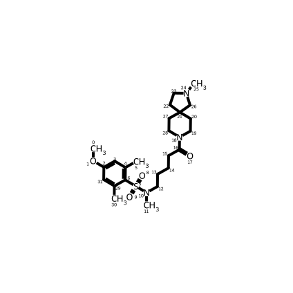 COc1cc(C)c(S(=O)(=O)N(C)CCCCC(=O)N2CCC3(CCN(C)C3)CC2)c(C)c1